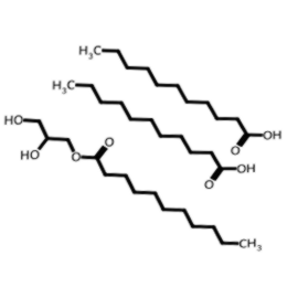 CCCCCCCCCCC(=O)O.CCCCCCCCCCC(=O)O.CCCCCCCCCCC(=O)OCC(O)CO